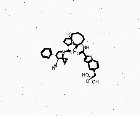 N#C[C@H]1[C@H](c2ccccc2)CN(C(=O)[C@@H]2CC[C@@H]3CCCC[C@H](NC(=O)c4cc5cc(CP(=O)(O)O)ccc5s4)C(=O)N32)C12CC2